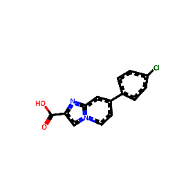 O=C(O)c1cn2ccc(-c3ccc(Cl)cc3)cc2n1